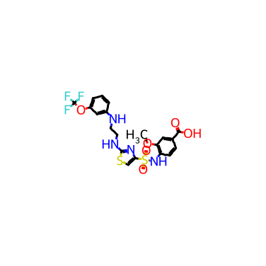 COc1cc(C(=O)O)ccc1NS(=O)(=O)c1csc(NCCNc2cccc(OC(F)(F)F)c2)n1